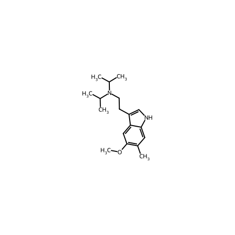 COc1cc2c(CCN(C(C)C)C(C)C)c[nH]c2cc1C